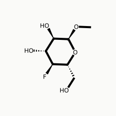 CO[C@H]1O[C@H](CO)[C@@H](F)[C@H](O)[C@H]1O